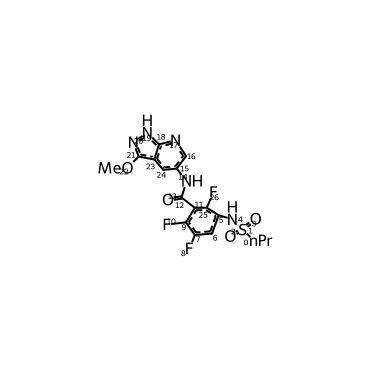 CCCS(=O)(=O)Nc1cc(F)c(F)c(C(=O)Nc2cnc3[nH]nc(OC)c3c2)c1F